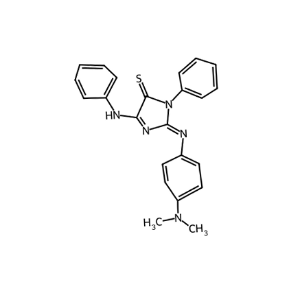 CN(C)c1ccc(N=C2N=C(Nc3ccccc3)C(=S)N2c2ccccc2)cc1